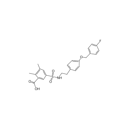 Cc1cc(S(=O)(=O)NCCc2ccc(OCc3ccc(F)cc3)cc2)cc(C(=O)O)c1C